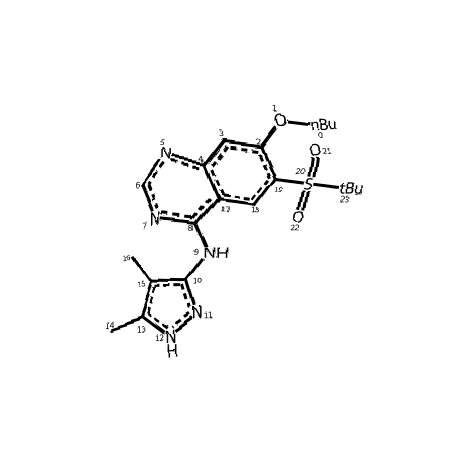 CCCCOc1cc2ncnc(Nc3n[nH]c(C)c3C)c2cc1S(=O)(=O)C(C)(C)C